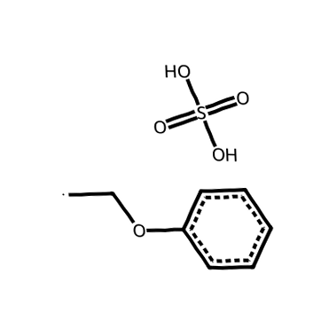 O=S(=O)(O)O.[CH2]COc1ccccc1